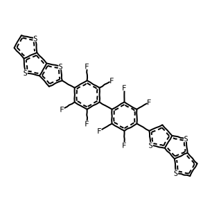 Fc1c(F)c(-c2c(F)c(F)c(-c3cc4sc5ccsc5c4s3)c(F)c2F)c(F)c(F)c1-c1cc2sc3ccsc3c2s1